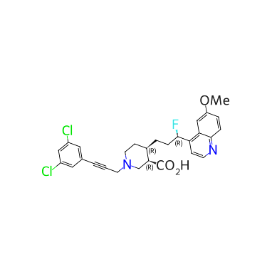 COc1ccc2nccc([C@H](F)CC[C@@H]3CCN(CC#Cc4cc(Cl)cc(Cl)c4)C[C@@H]3C(=O)O)c2c1